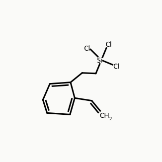 C=Cc1ccccc1CC[Si](Cl)(Cl)Cl